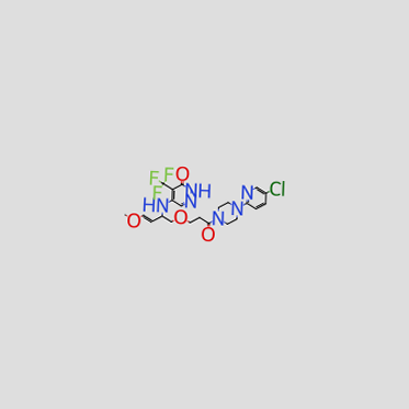 CO/C=C/C(COCCC(=O)N1CCN(c2ccc(Cl)cn2)CC1)Nc1cn[nH]c(=O)c1C(F)(F)F